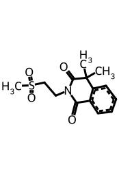 CC1(C)C(=O)N(CCS(C)(=O)=O)C(=O)c2ccccc21